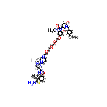 COc1ccc(CN2C(=O)CCC(n3c(=O)n(C)c4cc(OCCOCCOCCOCCN5CCCN(c6nccc(-c7noc([C@@]8(C)CCCc9sc(N)c(C#N)c98)n7)n6)[C@@H](C)C5)ccc43)C2=O)cc1